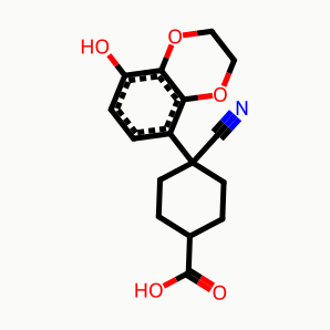 N#CC1(c2ccc(O)c3c2OCCO3)CCC(C(=O)O)CC1